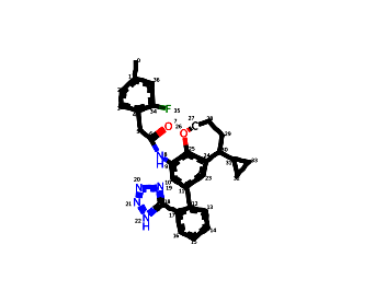 Cc1ccc(CC(=O)Nc2cc(-c3ccccc3-c3nnn[nH]3)cc3c2OCCCC3C2CC2)c(F)c1